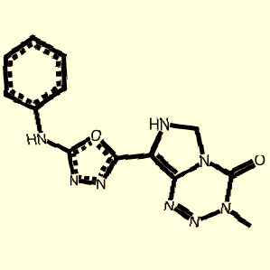 CN1N=NC2=C(c3nnc(Nc4ccccc4)o3)NCN2C1=O